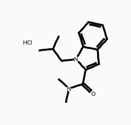 CC(C)Cn1c(C(=O)N(C)C)cc2ccccc21.Cl